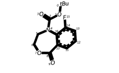 CC(C)(C)OC(=O)N1CCOC(=O)c2cccc(F)c21